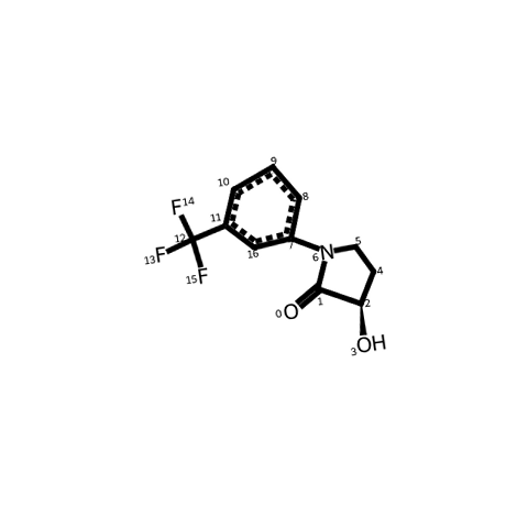 O=C1[C@H](O)CCN1c1cccc(C(F)(F)F)c1